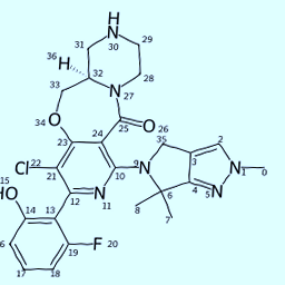 Cn1cc2c(n1)C(C)(C)N(c1nc(-c3c(O)cccc3F)c(Cl)c3c1C(=O)N1CCNC[C@@H]1CO3)C2